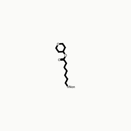 CCCCCCCCCCCCCCCC(=O)OC1CCOCC1